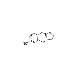 N#Cc1ccc(CN2C=CCC2)c(Br)c1